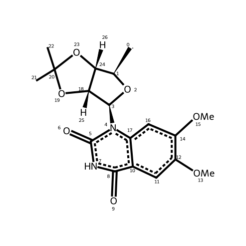 [CH2][C@H]1O[C@@H](n2c(=O)[nH]c(=O)c3cc(OC)c(OC)cc32)[C@@H]2OC(C)(C)O[C@@H]21